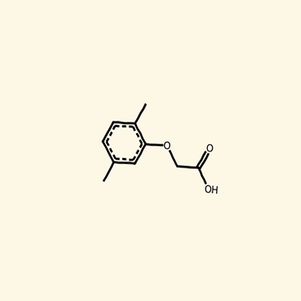 Cc1ccc(C)c(OCC(=O)O)c1